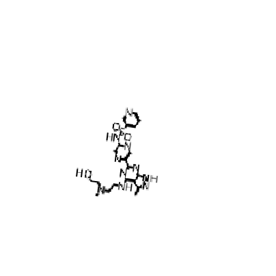 Cc1n[nH]c2nc(-c3cnc(NS(=O)(=O)c4cccnc4)cn3)nc(NCCN(C)CCO)c12